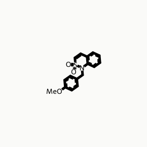 COc1ccc(CN2c3ccccc3C=CS2(=O)=O)cc1